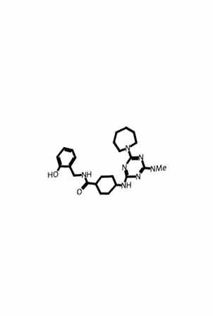 CNc1nc(NC2CCC(C(=O)NCc3ccccc3O)CC2)nc(N2CCCCCC2)n1